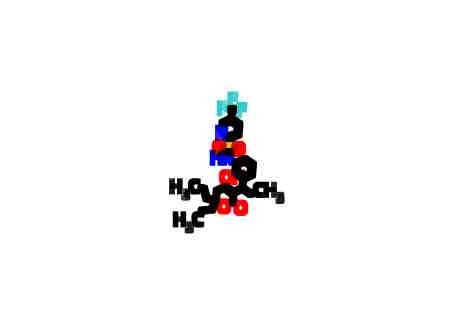 CCCC1(CCC)CC(O)=C(C(CC)c2cccc(NS(=O)(=O)c3ccc(C(F)(F)F)cn3)c2)C(=O)O1